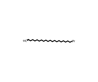 [CH]=CCCCCCCCCCCCCCCCCCCCC(C)C